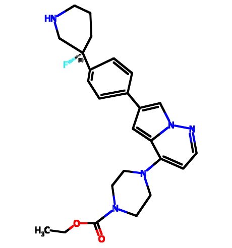 CCOC(=O)N1CCN(c2ccnn3cc(-c4ccc([C@]5(F)CCCNC5)cc4)cc23)CC1